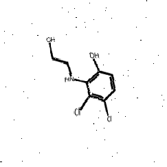 OCCNc1c(O)ccc(Cl)c1Cl